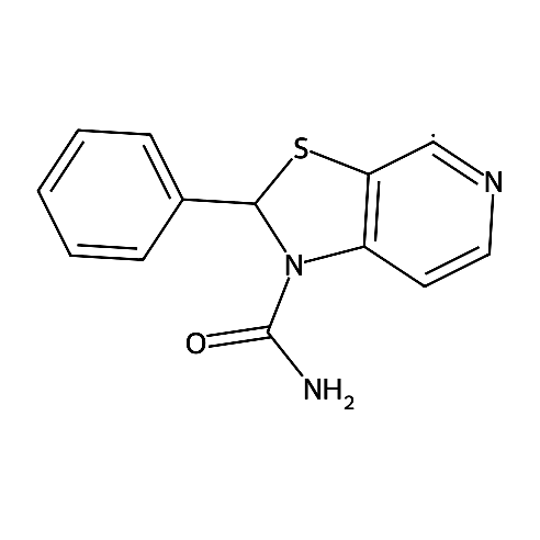 NC(=O)N1c2ccn[c]c2SC1c1ccccc1